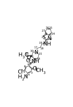 COc1cc(N)c(Cl)cc1C(=O)N[C@H]1CCN(CCCNc2nc3ccccc3s2)C[C@H]1OC